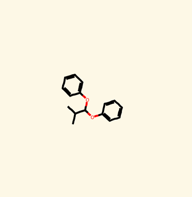 CC(C)C(Oc1ccccc1)Oc1ccccc1